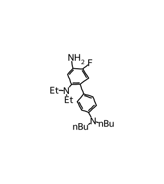 CCCCN(CCCC)c1ccc(-c2cc(F)c(N)cc2N(CC)CC)cc1